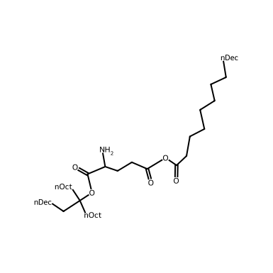 CCCCCCCCCCCCCCCCCC(=O)OC(=O)CCC(N)C(=O)OC(CCCCCCCC)(CCCCCCCC)CCCCCCCCCCC